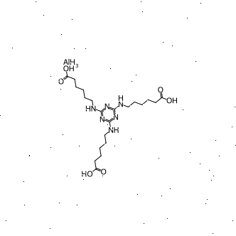 O=C(O)CCCCCNc1nc(NCCCCCC(=O)O)nc(NCCCCCC(=O)O)n1.[AlH3]